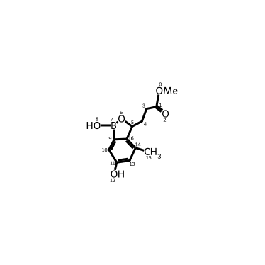 COC(=O)CCC1OB(O)c2cc(O)cc(C)c21